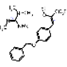 C/N=C(\NC)N(C)C.CCOC(=O)/C(=C/c1ccc(OCc2ccccc2)cc1)OCC